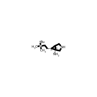 CC(C)(C)[Si](C)(C)CC[C@@H]1C2CNC[C@]21N